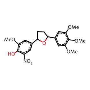 COc1cc(C2CCC(c3cc(OC)c(OC)c(OC)c3)O2)cc([N+](=O)[O-])c1O